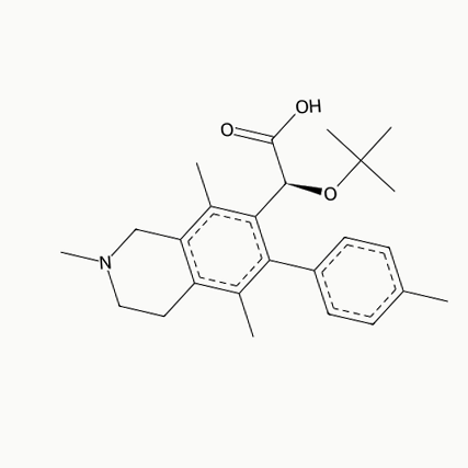 Cc1ccc(-c2c(C)c3c(c(C)c2[C@H](OC(C)(C)C)C(=O)O)CN(C)CC3)cc1